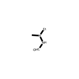 CCN(C)N[C]=O